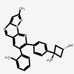 Cc1cc2ncc3cc(-c4ccccc4C)c(-c4ccc([C@]5(N)C[C@H](O)C5)cc4)nc3n2n1